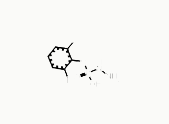 NNP(=O)(O)Oc1c(F)cccc1F